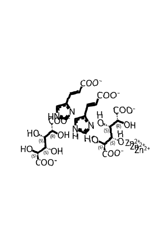 O=C([O-])C=Cc1c[nH]cn1.O=C([O-])C=Cc1c[nH]cn1.O=C([O-])[C@@H](O)[C@@H](O)[C@H](O)[C@@H](O)C(=O)[O-].O=C([O-])[C@@H](O)[C@@H](O)[C@H](O)[C@@H](O)C(=O)[O-].[Zn+2].[Zn+2].[Zn+2]